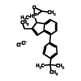 CCC1=Cc2c(-c3ccc(C(C)(C)C)cc3)cccc2[CH]1[Hf+2]1([CH3])[O][CH]1C.[Cl-].[Cl-]